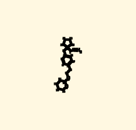 NCC1(Cc2ccc(CCOC3CCCCO3)cc2)CCCC1